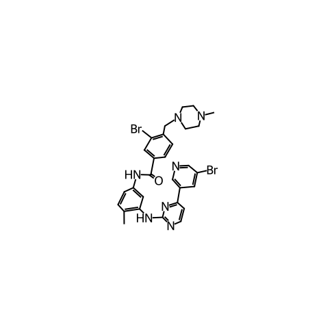 Cc1ccc(NC(=O)c2ccc(CN3CCN(C)CC3)c(Br)c2)cc1Nc1nccc(-c2cncc(Br)c2)n1